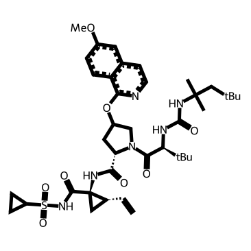 C=C[C@@H]1C[C@]1(NC(=O)[C@@H]1CC(Oc2nccc3cc(OC)ccc23)CN1C(=O)[C@@H](NC(=O)NC(C)(C)CC(C)(C)C)C(C)(C)C)C(=O)NS(=O)(=O)C1CC1